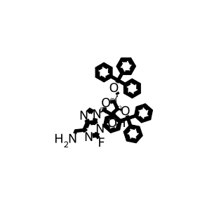 NCc1nc(F)nc2c1ncn2[C@@H]1O[C@H](COC(c2ccccc2)(c2ccccc2)c2ccccc2)[C@@H](OC(c2ccccc2)(c2ccccc2)c2ccccc2)[C@H]1O